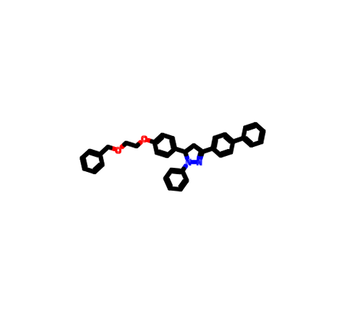 c1ccc(COCCOc2ccc(C3CC(c4ccc(-c5ccccc5)cc4)=NN3c3ccccc3)cc2)cc1